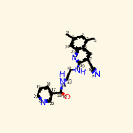 Cc1cc(C)c2cc(C#N)c(NCCNC(=O)c3cccnc3)nc2c1